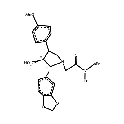 CCCN(CC)C(=O)CN1CC(c2ccc(OC)cc2)[C@H](C(=O)O)[C@H]1c1ccc2c(c1)OCO2